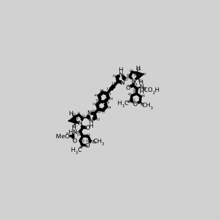 COC(=O)N[C@H](C(=O)N1[C@@H]2C[C@@H]2C[C@H]1c1nc(-c2ccc3cc(C#Cc4c[nH]c([C@@H]5C[C@H]6C[C@H]6N5C(=O)[C@@H](NC(=O)O)C5C[C@@H](C)O[C@@H](C)C5)n4)ccc3c2)c[nH]1)C1C[C@@H](C)O[C@@H](C)C1